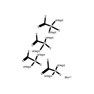 CCCCCCC[N+]([S-])(CCCCCCC)C(=S)[S-].CCCCCCC[N+]([S-])(CCCCCCC)C(=S)[S-].CCCCCCC[N+]([S-])(CCCCCCC)C(=S)[S-].CCCCCCC[N+]([S-])(CCCCCCC)C(=S)[S-].[Mo+4]